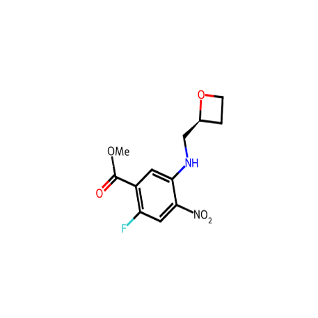 COC(=O)c1cc(NC[C@@H]2CCO2)c([N+](=O)[O-])cc1F